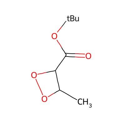 CC1OOC1C(=O)OC(C)(C)C